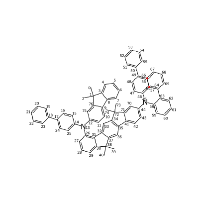 CC1(C)c2ccccc2-c2ccc(N(c3ccc(-c4ccccc4)cc3)c3cccc4c3-c3cc5c(cc3C4(C)C)-c3ccc(N(c4ccc(-c6ccccc6)cc4)c4ccccc4-c4ccccc4)cc3C5(C)C)cc21